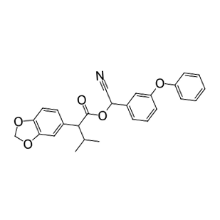 CC(C)C(C(=O)OC(C#N)c1cccc(Oc2ccccc2)c1)c1ccc2c(c1)OCO2